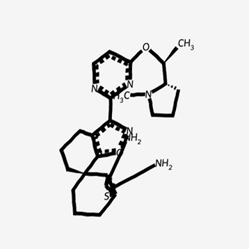 C[C@H](Oc1ccnc(-c2noc3c2CCC[C@@]32CCCc3sc(N)c(N)c32)n1)[C@@H]1CCCN1C